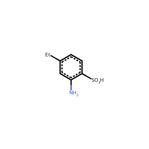 CCc1ccc(S(=O)(=O)O)c(N)c1